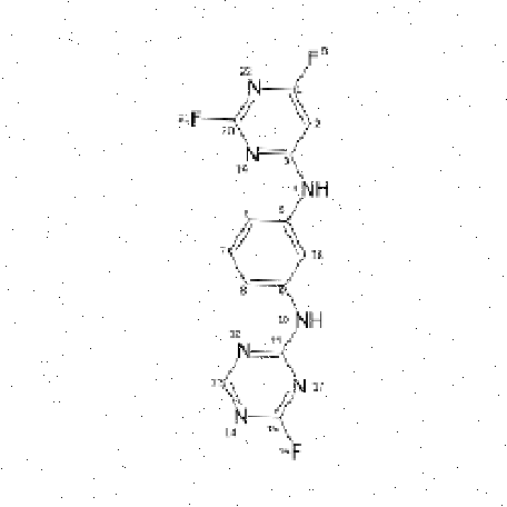 Fc1cc(Nc2cccc(Nc3n[c]nc(F)n3)c2)nc(F)n1